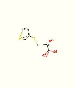 O=C(O)[C@@H](O)CSc1ccsc1